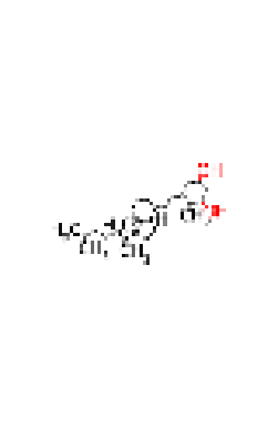 C=C1C(=CC=C2CCC[C@]3(C)[C@@H]([C@H](C)CCCC(C)C)CC[C@@H]23)CC(O)CC1O